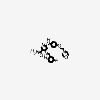 NC(=O)c1cnc(Nc2ccc(OCCN3CCOCC3)cc2)cc1NCc1cccc(F)c1